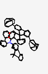 CC1(C)c2ccccc2-c2ccc(N(c3ccccc3-c3ccccc3)c3cccc4c3-c3ccccc3C43c4cc(C56CC7CC(CC(C7)C5)C6)ccc4-c4ccc(C56CC7CC(CC(C7)C5)C6)cc43)cc21